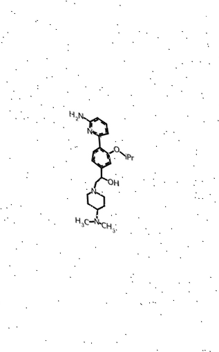 CC(C)Oc1cc(C(O)CN2CCC(N(C)C)CC2)ccc1-c1cccc(N)n1